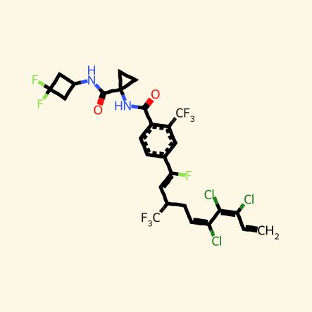 C=C/C(Cl)=C(Cl)\C(Cl)=C/CC(/C=C(\F)c1ccc(C(=O)NC2(C(=O)NC3CC(F)(F)C3)CC2)c(C(F)(F)F)c1)C(F)(F)F